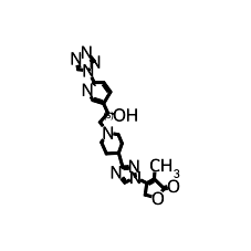 CC1=C(n2cnc(C3CCN(C[C@@H](O)c4ccc(-n5cnnn5)nc4)CC3)n2)COC1=O